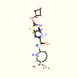 C[Si]1(C)CCCC(NC(=O)c2cc3sc(OC4CCC4)nc3[nH]2)NC1